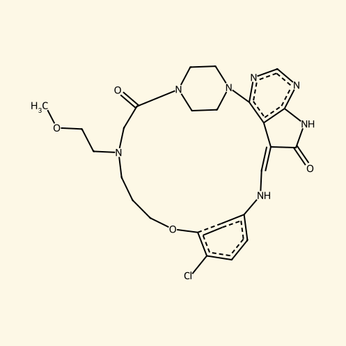 COCCN1CCCOc2cc(ccc2Cl)N/C=C2\C(=O)Nc3ncnc(c32)N2CCN(CC2)C(=O)C1